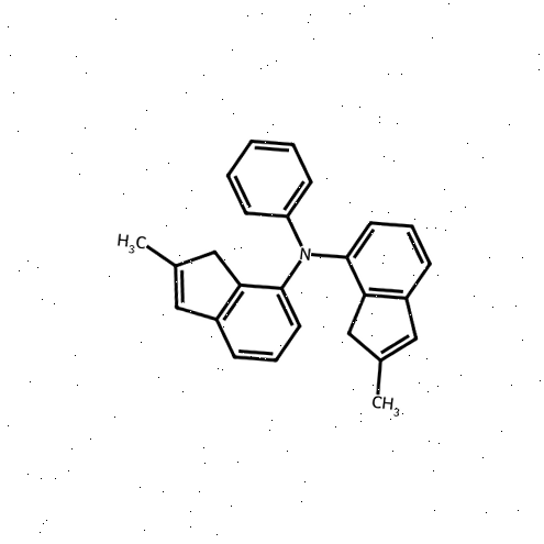 CC1=Cc2cccc(N(c3ccccc3)c3cccc4c3CC(C)=C4)c2C1